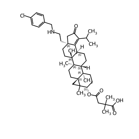 CC(C)C1=C2[C@H]3CC[C@@H]4[C@@]5(C)CC[C@H](OC(=O)CC(C)(C)C(=O)O)C6(C)C[C@]65CC[C@@]4(C)[C@]3(C)CC[C@@]2(CCNCc2ccc(Cl)cc2)CC1=O